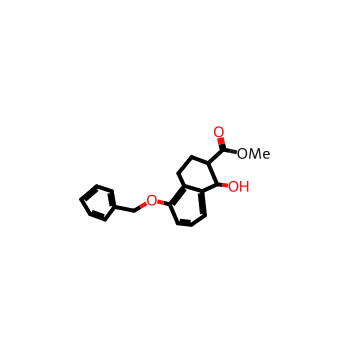 COC(=O)C1CCc2c(OCc3ccccc3)cccc2C1O